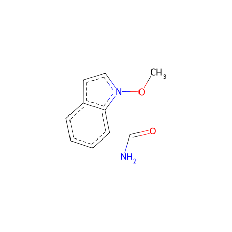 COn1ccc2ccccc21.NC=O